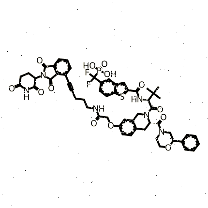 CC(C)(C)[C@H](NC(=O)c1cc2cc(C(F)(F)P(=O)(O)O)ccc2s1)C(=O)N1Cc2cc(OCC(=O)NCCCC#Cc3cccc4c3C(=O)N(C3CCC(=O)NC3=O)C4=O)ccc2C[C@H]1C(=O)N1CCOC(c2ccccc2)C1